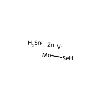 [SeH][Mo].[SnH2].[V].[Zn]